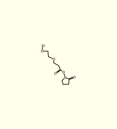 CCOCCOCCC(=O)ON1CCCC1=O